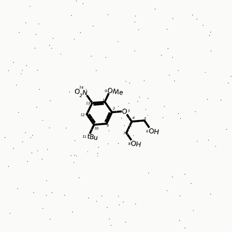 COc1c(OC(CO)CO)cc(C(C)(C)C)cc1[N+](=O)[O-]